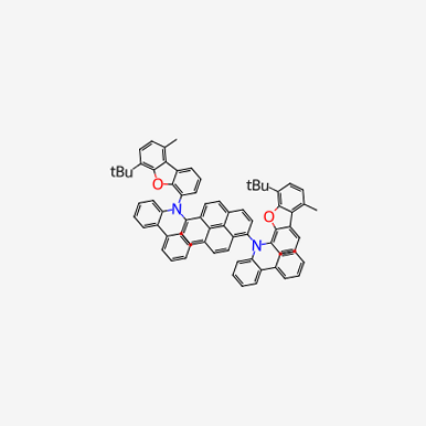 Cc1ccc(C(C)(C)C)c2oc3c(N(c4ccccc4-c4ccccc4)c4ccc5ccc6c(N(c7ccccc7-c7ccccc7)c7cccc8c7oc7c(C(C)(C)C)ccc(C)c78)ccc7ccc4c5c76)cccc3c12